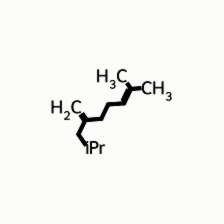 C=C(CCC=C(C)C)CC(C)C